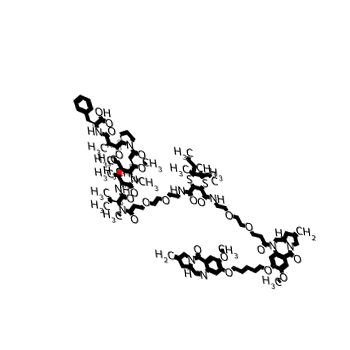 C=C1C[C@H]2CN(C(=O)CCOCCOCCNC(=O)C3SC(C)(CC)C(C)(CCC)SC3C(=O)NCCOCCOCCC(=O)N(C)[C@H](C(=O)N[C@H](C(=O)N(C)[C@@H]([C@@H](C)CC)[C@@H](CC(=O)N3CCC[C@H]3[C@H](OC)[C@@H](C)C(=O)N[C@@H](Cc3ccccc3)C(=O)O)OC)C(C)C)C(C)C)c3cc(OCCCCCOc4cc5c(cc4OC)C(=O)N4CC(=C)C[C@H]4C=N5)c(OC)cc3C(=O)N2C1